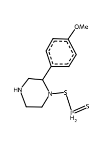 COc1ccc(C2CNCCN2S[PH2]=S)cc1